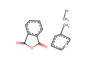 CC(C)=O.Cc1ccccc1.O=C1OC(=O)c2ccccc21